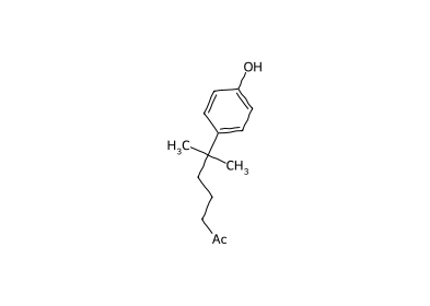 CC(=O)CCCC(C)(C)c1ccc(O)cc1